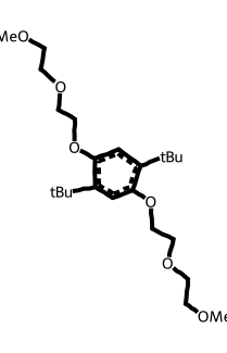 COCCOCCOc1cc(C(C)(C)C)c(OCCOCCOC)cc1C(C)(C)C